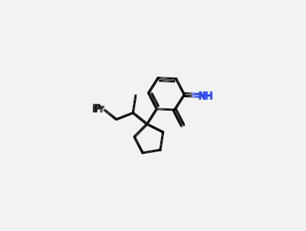 C=C1C(=N)C=CC=C1C1(C(C)CC(C)C)CCCC1